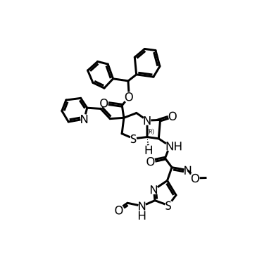 CON=C(C(=O)NC1C(=O)N2CC(C=Cc3ccccn3)(C(=O)OC(c3ccccc3)c3ccccc3)CS[C@H]12)c1csc(NC=O)n1